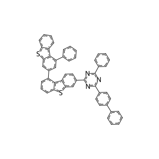 c1ccc(-c2ccc(-c3nc(-c4ccccc4)nc(-c4ccc5c(c4)sc4cccc(-c6cc(-c7ccccc7)c7c(c6)sc6ccccc67)c45)n3)cc2)cc1